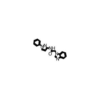 O=C(Cn1cnc2ccccc21)Nc1ccn(-c2ccccc2)n1